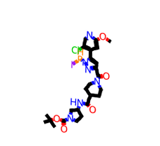 COc1cc(-c2cc(C(=O)N3CCC(C(=O)NC4CCN(C(=O)OC(C)(C)C)C4)CC3)nn2PI)c(Cl)cn1